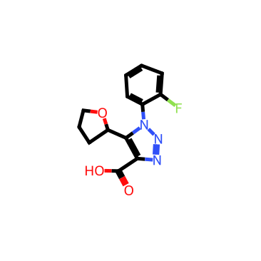 O=C(O)c1nnn(-c2ccccc2F)c1C1CCCO1